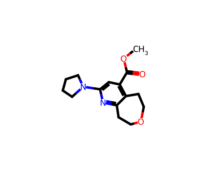 COC(=O)c1cc(N2CCCC2)nc2c1CCOCC2